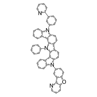 c1ccc(-n2c3c(ccc4c3c3ccccc3n4-c3cccc(-c4ccccn4)c3)c3ccc4c(c5ccccc5n4-c4ccc5oc6cccnc6c5c4)c32)cc1